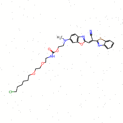 CN(CCOC(=O)NCCOCCOCCCCCCCl)c1ccc2nc(/C=C(\C#N)c3nc4ccccc4s3)oc2c1